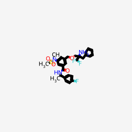 C[C@@H](NC(=O)c1cc(COCC(N)(Cc2ccccc2)C(F)F)cc(N(C)S(C)(=O)=O)c1)c1ccc(F)cc1